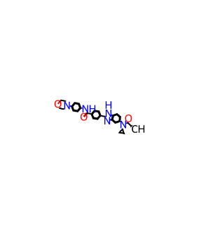 C#CC(=O)N(c1ccc2[nH]c(-c3ccc(C(=O)Nc4ccc(N5CCOCC5)cc4)cc3)nc2c1)C1CC1